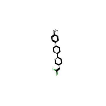 CCCc1ccc([C@H]2CC[C@H]([C@H]3CC[C@H](C=C(F)F)CC3)CC2)cc1